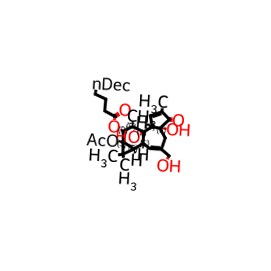 CCCCCCCCCCCCCC(=O)O[C@@H]1[C@@H](C)[C@@]2(O)[C@@H](C=C(CO)C[C@@]3(O)C(=O)C(C)=C[C@@H]23)[C@@H]2C(C)(C)[C@]12OC(C)=O